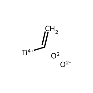 C=[CH][Ti+4].[O-2].[O-2]